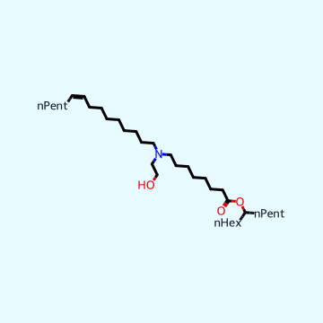 CCCCC/C=C\CCCCCCCCN(CCO)CCCCCCCC(=O)OC(CCCCC)CCCCCC